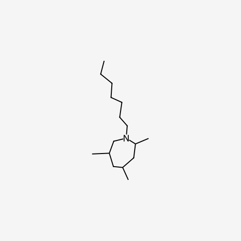 CCCCCCCN1CC(C)CC(C)CC1C